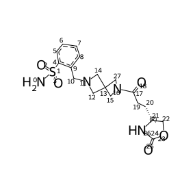 NS(=O)(=O)c1ccccc1CN1CC2(C1)CN(C(=O)CC[C@@H]1COC(=O)N1)C2